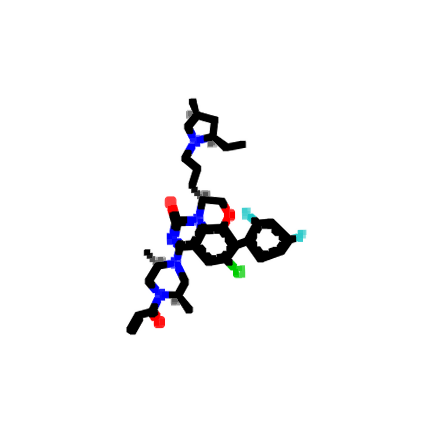 C=CC(=O)N1C[C@H](C)N(c2nc(=O)n3c4c(c(-c5ccc(F)cc5F)c(Cl)cc24)OC[C@H]3CCCN2C[C@@H](C)C[C@H]2CC)C[C@H]1C